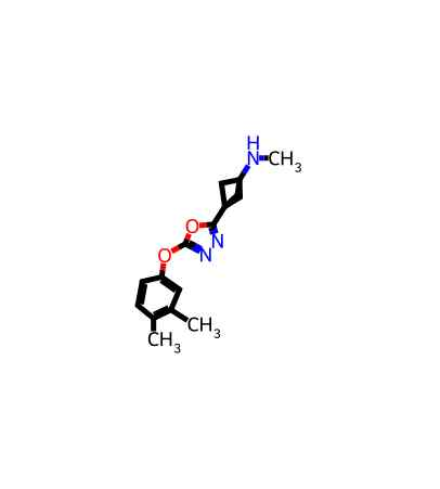 CNC12CC(c3nnc(Oc4ccc(C)c(C)c4)o3)(C1)C2